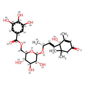 CC1=CC(=O)CC(C)(C)[C@@]1(O)/C=C/[C@@H](C)O[C@@H]1O[C@H](COC(=O)c2cc(O)c(O)c(O)c2)[C@@H](O)[C@H](O)[C@H]1O